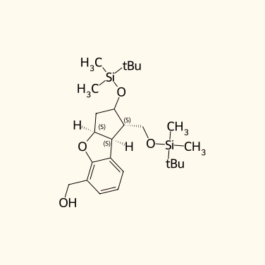 CC(C)(C)[Si](C)(C)OC[C@H]1C(O[Si](C)(C)C(C)(C)C)C[C@@H]2Oc3c(CO)cccc3[C@@H]21